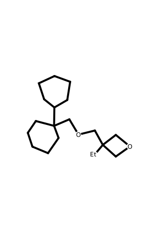 CCC1(COCC2(C3CCCCC3)CCCCC2)COC1